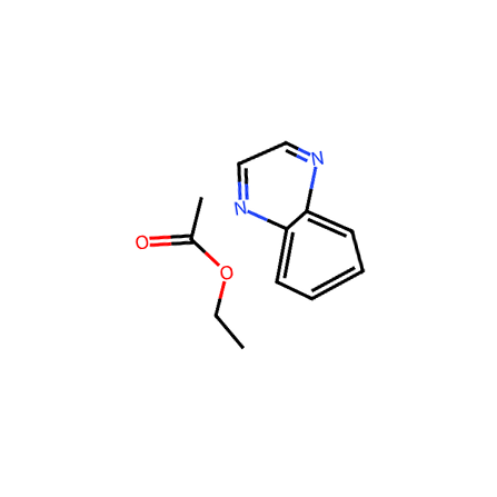 CCOC(C)=O.c1ccc2nccnc2c1